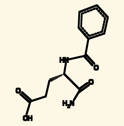 NC(=O)[C@H](CCC(=O)O)NC(=O)c1ccccc1